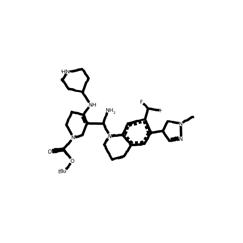 CN1CC(c2cc3c(cc2C(F)F)N(C(N)C2=C(NC4CCNCC4)CCN(C(=O)OC(C)(C)C)C2)CCC3)C=N1